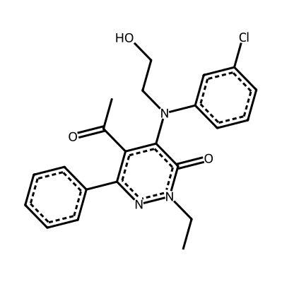 CCn1nc(-c2ccccc2)c(C(C)=O)c(N(CCO)c2cccc(Cl)c2)c1=O